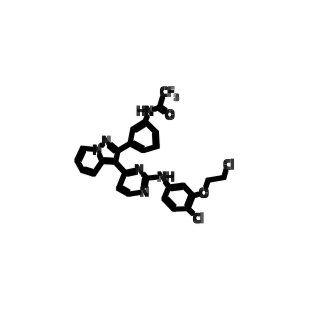 O=C(Nc1cccc(-c2nn3ccccc3c2-c2ccnc(Nc3ccc(Cl)c(OCCCl)c3)n2)c1)C(F)(F)F